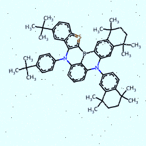 CC(C)(C)c1ccc(N2c3cccc4c3B(c3cc5c(cc3N4c3ccc4c(c3)C(C)(C)CCC4(C)C)C(C)(C)CCC5(C)C)c3sc4ccc(C(C)(C)C)cc4c32)cc1